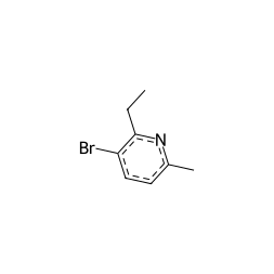 CCc1nc(C)ccc1Br